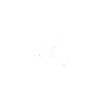 NCc1cccc(CN(CC(F)(F)F)C(=O)C(=O)Nc2ccc(N3CCCCC3=O)cc2)c1